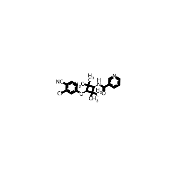 CC1(C)[C@H](NC(=O)c2cccnc2)C(C)(C)[C@H]1Oc1ccc(C#N)c(Cl)c1